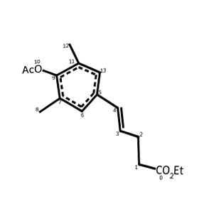 CCOC(=O)CC/C=C/c1cc(C)c(OC(C)=O)c(C)c1